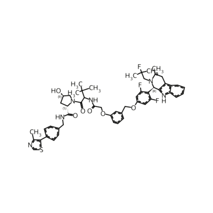 Cc1ncsc1-c1ccc(CNC(=O)[C@@H]2C[C@@H](O)CN2C(=O)C(NC(=O)COc2cccc(COc3cc(F)c([C@@H]4c5[nH]c6ccccc6c5C[C@@H](C)N4CC(C)(C)F)c(F)c3)c2)C(C)(C)C)cc1